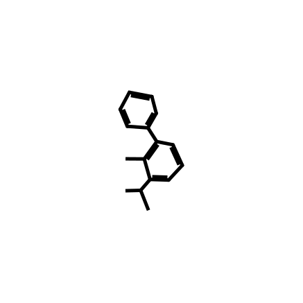 Cc1c(-c2ccccc2)cccc1C(C)C